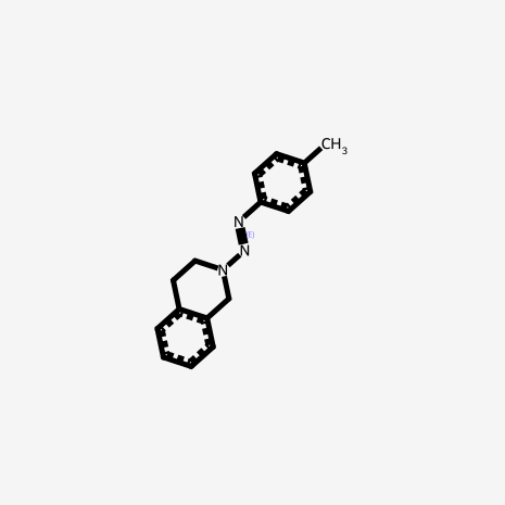 Cc1ccc(/N=N/N2CCc3ccccc3C2)cc1